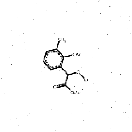 CCOC(C(=O)OC)c1cccc(C)c1OC(C)=O